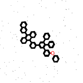 C1=CCC(c2cc(C3=CC(C4C5CC=CC=C5C(C5C=c6ccccc6=CC5)=C5C=CCCC54)=CCC3)cc(-c3cccc(OC4=CCCC=C4)c3)c2-c2ccccc2)C=C1